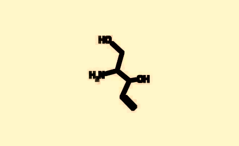 C=CC(O)C(N)CO